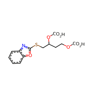 O=C(O)OCCC(CSc1nc2ccccc2o1)OC(=O)O